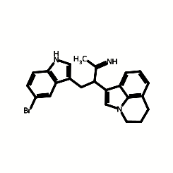 CC(=N)C(Cc1c[nH]c2ccc(Br)cc12)c1cn2c3c(cccc13)CCC2